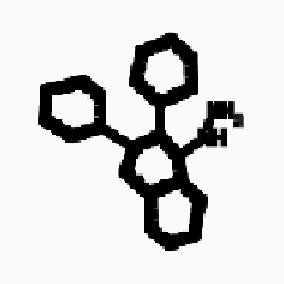 NNc1c(-c2ccccc2)c(-c2ccccc2)cc2ccccc12